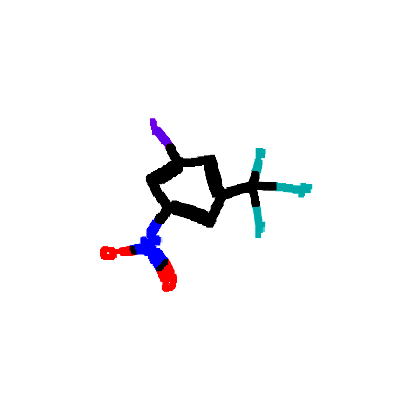 O=[N+]([O-])c1cc(I)cc(C(F)(F)F)c1